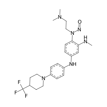 CNc1cc(Nc2ccc(N3CCC(C(F)(F)F)CC3)cc2)ccc1N(CCN(C)C)N=O